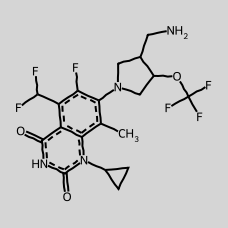 Cc1c(N2CC(CN)C(OC(F)(F)F)C2)c(F)c(C(F)F)c2c(=O)[nH]c(=O)n(C3CC3)c12